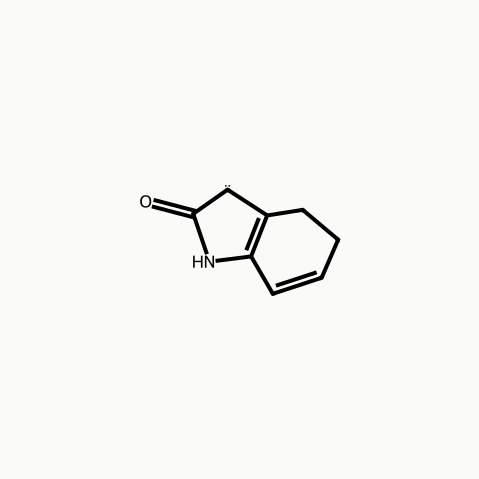 O=C1[C]C2=C(C=CCC2)N1